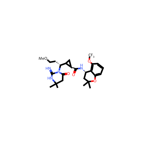 COCC[C@H](C1C[C@H]1C(=O)N[C@H]1CC(C)(C)Oc2cccc(OC(F)(F)F)c21)N1C(=N)NC(C)(C)CC1=O